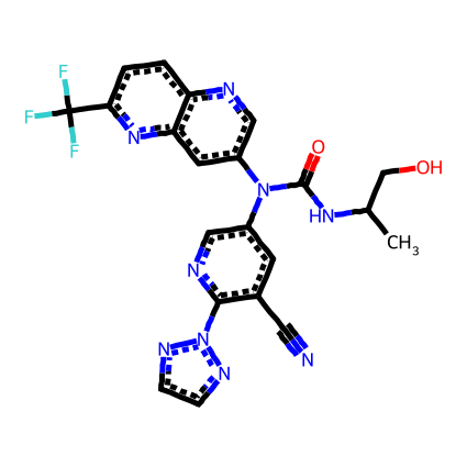 CC(CO)NC(=O)N(c1cnc(-n2nccn2)c(C#N)c1)c1cnc2ccc(C(F)(F)F)nc2c1